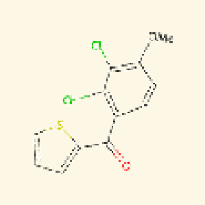 COc1ccc(C(=O)c2cccs2)c(Cl)c1Cl